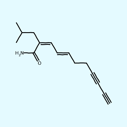 C#CC#CCCC=CC=C(CC(C)C)C(N)=O